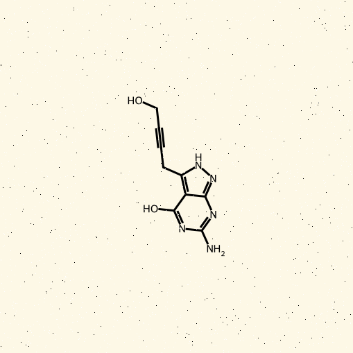 Nc1nc(O)c2c(CC#CCO)[nH]nc2n1